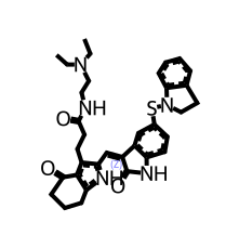 CCN(CC)CCNC(=O)CCc1c(/C=C2\C(=O)Nc3ccc(SN4CCc5ccccc54)cc32)[nH]c2c1C(=O)CCC2